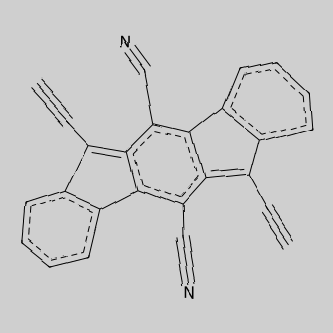 C#CC1=c2c(C#N)c3c(c(C#N)c2-c2ccccc21)=C(C#C)c1ccccc1-3